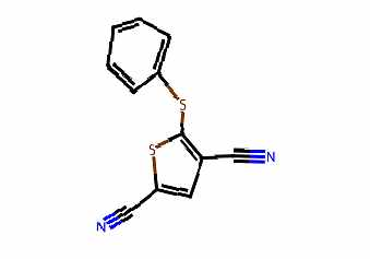 N#Cc1cc(C#N)c(Sc2ccccc2)s1